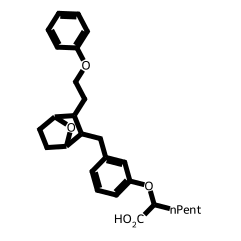 CCCCCC(Oc1cccc(CC2C3CCC(O3)C2CCOc2ccccc2)c1)C(=O)O